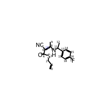 C=CCSC(=O)/C(C#N)=C(/C)NC(C)c1ccc(F)cc1